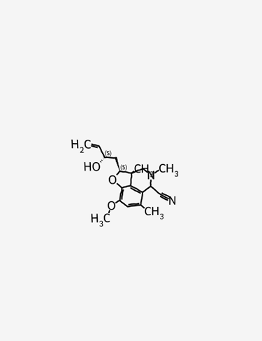 C=C[C@@H](O)C[C@@H]1Oc2c(OC)cc(C)c3c2C1(C)CN(C)C3C#N